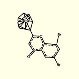 O=c1cc([C]23[CH]4[CH]5[CH]6[CH]2[Fe]56432789[CH]3[CH]2[CH]7[CH]8[CH]39)oc2c(Br)cc(Br)cc12